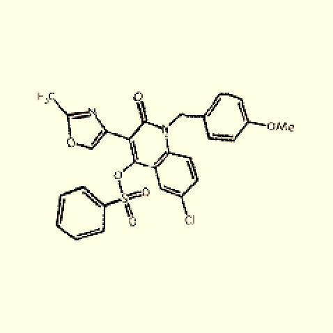 COc1ccc(Cn2c(=O)c(-c3coc(C)n3)c(OS(=O)(=O)c3ccccc3)c3cc(Cl)ccc32)cc1